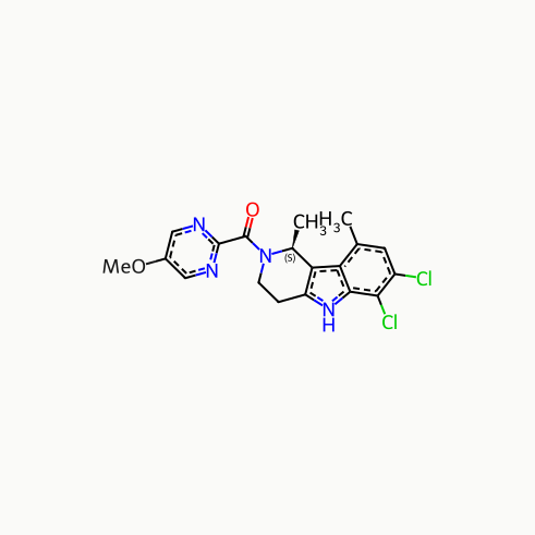 COc1cnc(C(=O)N2CCc3[nH]c4c(Cl)c(Cl)cc(C)c4c3[C@@H]2C)nc1